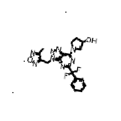 Cc1nonc1Cn1nnc2c(N3CCC(O)C3)nc(C(F)(F)c3ccccc3)nc21